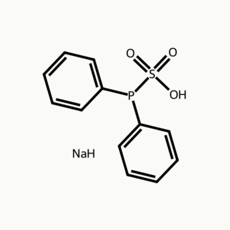 O=S(=O)(O)P(c1ccccc1)c1ccccc1.[NaH]